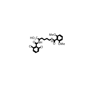 COc1cccc(OC)c1C(=O)NCCCCC(NC(=O)c1c(Cl)cccc1Cl)C(=O)O